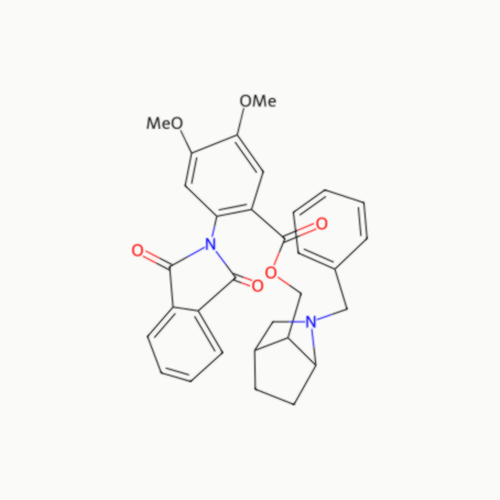 COc1cc(C(=O)OCC2C3CCC2N(Cc2ccccc2)C3)c(N2C(=O)c3ccccc3C2=O)cc1OC